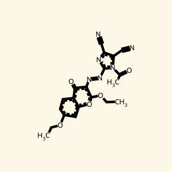 CCOc1ccc2c(=O)c(/N=N/c3nc(C#N)c(C#N)n3C(C)=O)c(OCC)oc2c1